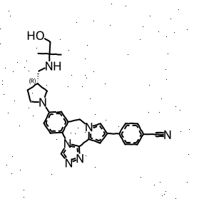 CC(C)(CO)NC[C@H]1CCN(c2ccc3c(c2)Cn2cc(-c4ccc(C#N)cc4)cc2-c2nncn2-3)C1